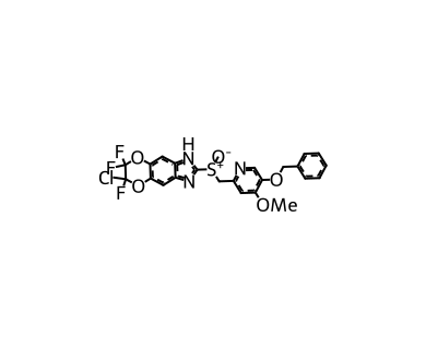 COc1cc(C[S+]([O-])c2nc3cc4c(cc3[nH]2)OC(F)(F)C(F)(Cl)O4)ncc1OCc1ccccc1